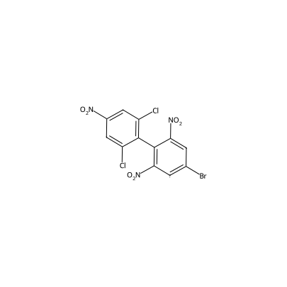 O=[N+]([O-])c1cc(Cl)c(-c2c([N+](=O)[O-])[c]c(Br)cc2[N+](=O)[O-])c(Cl)c1